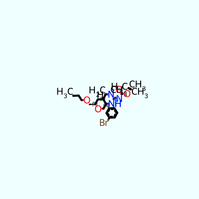 C=C1[C@@H]2C[C@H](COCCCC)OC[C@]2(c2cc(Br)ccc2F)N/C(=N/C(=O)OC(C)(C)C)N1C